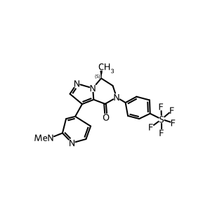 CNc1cc(-c2cnn3c2C(=O)N(c2ccc(S(F)(F)(F)(F)F)cc2)C[C@@H]3C)ccn1